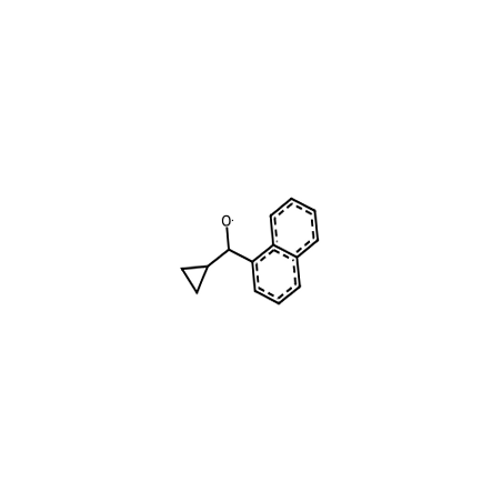 [O]C(c1cccc2ccccc12)C1CC1